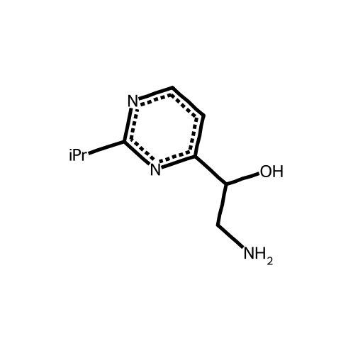 CC(C)c1nccc(C(O)CN)n1